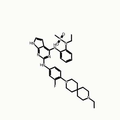 CCN1CCC2(CC1)CCN(c1ccc(Nc3nc(Nc4ccccc4N(CC)S(C)(=O)=O)c4cc[nH]c4n3)cc1F)CC2